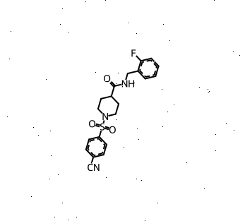 N#Cc1ccc(S(=O)(=O)N2CCC(C(=O)NCc3ccccc3F)CC2)cc1